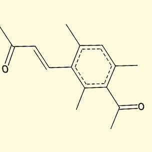 CC(=O)/C=C/c1c(C)cc(C)c(C(C)=O)c1C